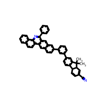 CC1(C)c2cc(-c3cccc(-c4ccc5cc6c(cc5c4)c(-c4ccccc4)nc4c5ccccc5ccc64)c3)ccc2C2C=CC(C#N)=CC21